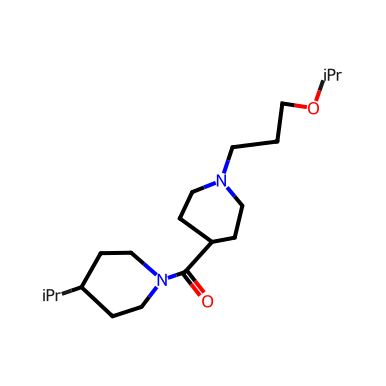 CC(C)OCCCN1CCC(C(=O)N2CCC(C(C)C)CC2)CC1